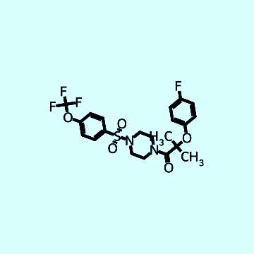 CC(C)(Oc1ccc(F)cc1)C(=O)N1CCN(S(=O)(=O)c2ccc(OC(F)(F)F)cc2)CC1